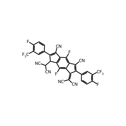 N#CC(C#N)=C1C(c2ccc(F)c(C(F)(F)F)c2)=C(C#N)c2c(F)c3c(c(F)c21)C(C(C#N)C#N)C(c1ccc(F)c(C(F)(F)F)c1)=C3C#N